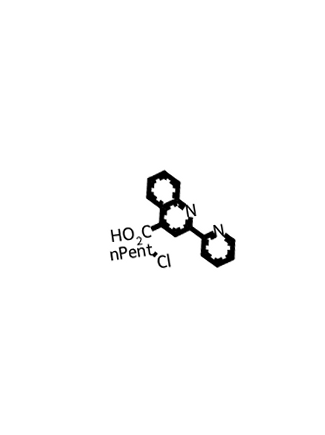 CCCCCCl.O=C(O)c1cc(-c2ccccn2)nc2ccccc12